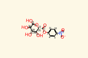 O=C(Oc1ccc([N+](=O)[O-])cc1)[C@H]1O[C@@H](O)[C@H](O)[C@@H](O)[C@@H]1O